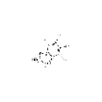 Cc1c(F)c(F)c(F)c(F)c1F.O=C(O)O